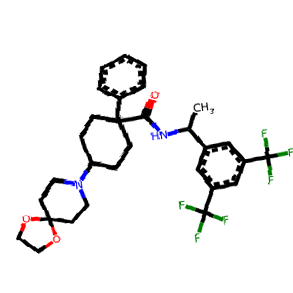 CC(NC(=O)C1(c2ccccc2)CCC(N2CCC3(CC2)OCCO3)CC1)c1cc(C(F)(F)F)cc(C(F)(F)F)c1